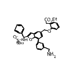 CCOC(=O)Cc1ccccc1OCc1cc(-c2cccc(CN)c2)c2oc(C(N[S@+]([O-])C(C)(C)C)c3ccccc3)cc2c1